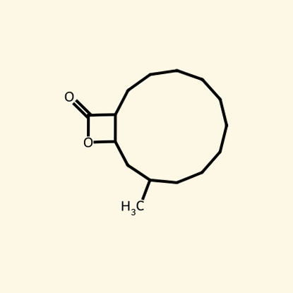 CC1CCCCCCCCCC2C(=O)OC2C1